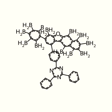 Bc1c(B)c(B)c(-c2cc(-c3ccc(-c4nc(-c5ccccc5)nc(-c5ccccc5)n4)cc3)c3c(oc4c(B)c5c(B)c(B)c(B)c(B)c5c(B)c43)c2B)c(B)c1B